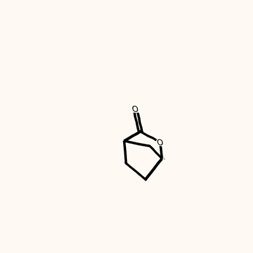 O=C1O[C]2CCC1C2